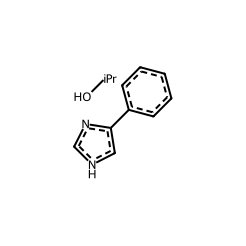 CC(C)O.c1ccc(-c2c[nH]cn2)cc1